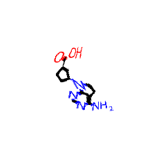 Nc1ncnc2c1ccn2[C@@H]1CC[C@@H](C(=O)O)C1